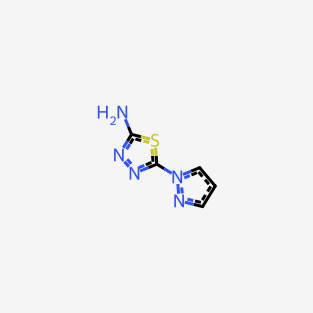 Nc1nnc(-n2cccn2)s1